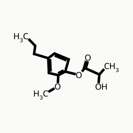 CCCc1ccc(OC(=O)C(C)O)c(OC)c1